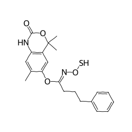 Cc1cc2c(cc1OC(CCCc1ccccc1)=NOS)C(C)(C)OC(=O)N2